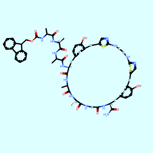 CC(NC(=O)OCC1c2ccccc2-c2ccccc21)C(=O)N[C@@H](C)C(=O)NC(C)C(=O)N[C@H]1Cc2ccc(O)c(c2)Cc2cnc(s2)NCCNc2ncc(s2)Cc2cc(ccc2O)C[C@@H](C(N)=O)NC(=O)CNC(=O)[C@H](C)NC(=O)C(C)NC1=O